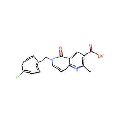 Cc1nc2ccn(Cc3ccc(F)cc3)c(=O)c2cc1C(=O)O